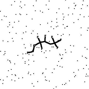 FCOC(F)(F)C(F)CC(F)(F)F